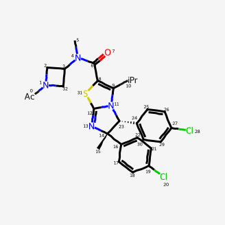 CC(=O)N1CC(N(C)C(=O)C2=C(C(C)C)N3C(=N[C@@](C)(c4ccc(Cl)cc4)[C@H]3c3ccc(Cl)cc3)S2)C1